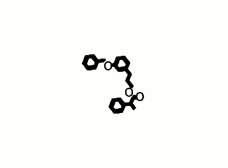 CC(C(=O)OCCCc1cccc(OCc2ccccc2)c1)c1ccccc1